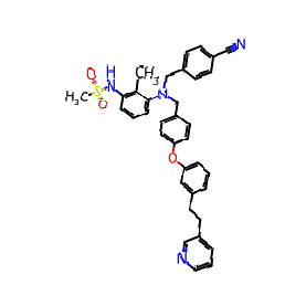 Cc1c(NS(C)(=O)=O)cccc1N(Cc1ccc(C#N)cc1)Cc1ccc(Oc2cccc(CCc3cccnc3)c2)cc1